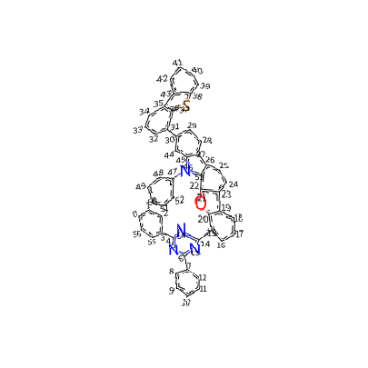 c1ccc(-c2nc(-c3ccccc3)nc(-c3cccc4c3oc3c4ccc4c5ccc(-c6cccc7c6sc6ccccc67)cc5n(-c5ccccc5)c43)n2)cc1